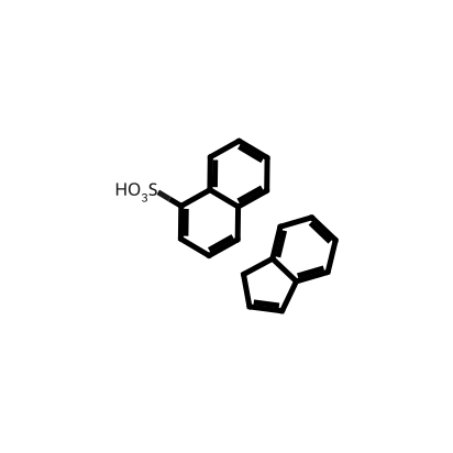 C1=Cc2ccccc2C1.O=S(=O)(O)c1cccc2ccccc12